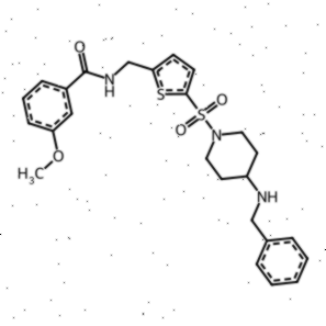 COc1cccc(C(=O)NCc2ccc(S(=O)(=O)N3CCC(NCc4ccccc4)CC3)s2)c1